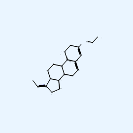 C/C=C1/CCC2C3CC=C4C=C(OCC)CC[C@]4(C)C3CC[C@]12C